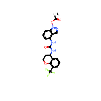 CC(=O)On1ncc2c(NC(=O)NC3CCOc4c3cccc4C(F)(F)F)cccc21